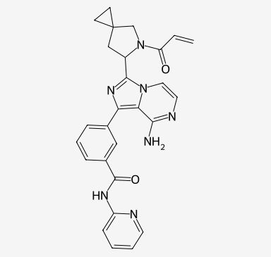 C=CC(=O)N1CC2(CC2)CC1c1nc(-c2cccc(C(=O)Nc3ccccn3)c2)c2c(N)nccn12